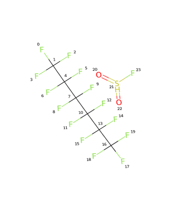 FC(F)(F)C(F)(F)C(F)(F)C(F)(F)C(F)(F)C(F)(F)F.O=[SH](=O)F